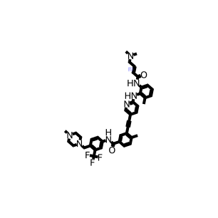 Cc1ccc(C(=O)Nc2ccc(CN3CCN(C)CC3)c(C(F)(F)F)c2)cc1C#Cc1ccc(Nc2c(C)cccc2NC(=O)/C=C/CN(C)C)nc1